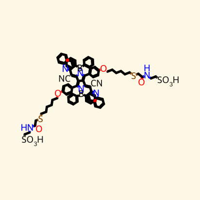 N#C/C(c1ccc2ccccc2n1)=c1\c2c(-c3ccc(OCCCCCCSCC(=O)NCCS(=O)(=O)O)cc3)n(B(c3ccccc3)c3ccccc3)/c(=C(/C#N)c3ccc4ccccc4n3)c2c(-c2ccc(OCCCCCCSCC(=O)NCCS(=O)(=O)O)cc2)n1B(c1ccccc1)c1ccccc1